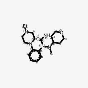 CCN1CCN(c2ccccc2N(C(N)=O)N(C)C2CCOCC2)CC1